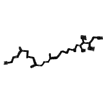 C/C(=C\CCCOCC(O)C(O)C(O)CO)CCCC(C)CCCC(C)CCCC(C)C